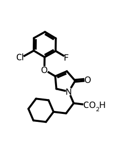 O=C(O)C(CC1CCCCC1)N1CC(Oc2c(F)cccc2Cl)=CC1=O